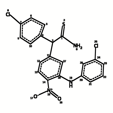 NC(=S)C(c1ccc(Cl)cc1)c1ccc([N+](=O)[O-])c(Nc2cccc(Cl)c2)c1